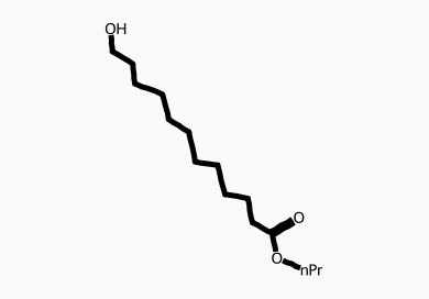 CCCOC(=O)CCCCCCCCCCCO